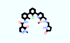 COc1nc(-c2cccc(-c3cccc(NC(=O)c4ccnn(C)c4=O)c3C)c2Cl)ccc1CNCC1CCC(=O)N1